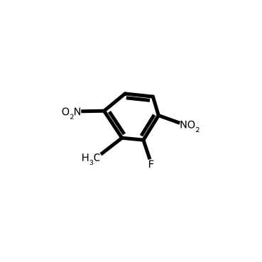 Cc1c([N+](=O)[O-])ccc([N+](=O)[O-])c1F